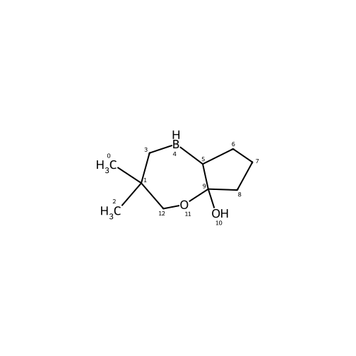 CC1(C)CBC2CCCC2(O)OC1